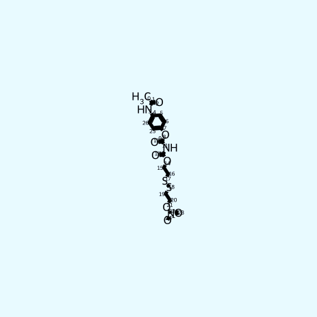 CC(=O)Nc1ccc(OC(=O)NC(=O)OCCSSCCO[N+](=O)[O-])cc1